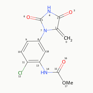 C=C1C(=O)NC(=O)N1c1ccc(Cl)c(NC(=O)OC)c1